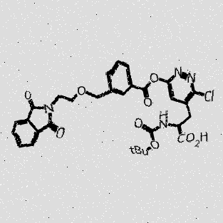 CC(C)(C)OC(=O)NC(Cc1cc(OC(=O)c2cccc(COCCN3C(=O)c4ccccc4C3=O)c2)nnc1Cl)C(=O)O